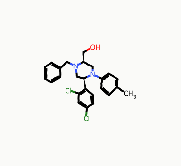 Cc1ccc(N2C[C@H](CO)N(Cc3ccccc3)C[C@@H]2c2ccc(Cl)cc2Cl)cc1